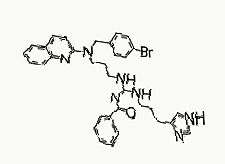 O=C(N=C(NCCCc1c[nH]cn1)NCCCN(Cc1ccc(Br)cc1)c1ccc2ccccc2n1)c1ccccc1